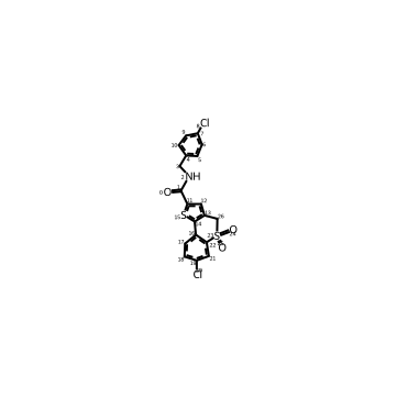 O=C(NCc1ccc(Cl)cc1)c1cc2c(s1)-c1ccc(Cl)cc1S(=O)(=O)C2